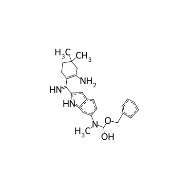 CN(c1ccc2cc(C(=N)C3=C(N)CC(C)(C)CC3)[nH]c2c1)C(O)OCc1ccccc1